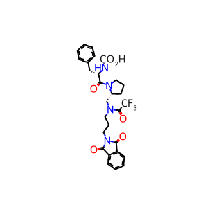 O=C(O)N[C@@H](Cc1ccccc1)C(=O)N1CCC[C@@H]1CN(CCCN1C(=O)c2ccccc2C1=O)C(=O)C(F)(F)F